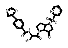 CCCC(NC(=O)c1ccc(-c2cnco2)cc1)C(=O)N1CCC2C1C(=O)CN2S(=O)(=O)c1ccccn1